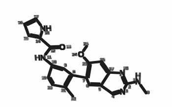 CNc1ncc2cc(-c3cc(NC(=O)c4ccc[nH]4)ccc3C)c(OC)cc2n1